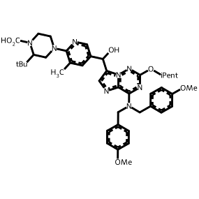 CCCC(C)Oc1nc(N(Cc2ccc(OC)cc2)Cc2ccc(OC)cc2)c2ncc(C(O)c3cnc(N4CCN(C(=O)O)C(C(C)(C)C)C4)c(C)c3)n2n1